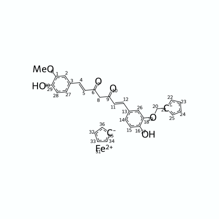 COc1cc(/C=C/C(=O)CC(=O)/C=C/c2ccc(O)c(OC[c-]3cccc3)c2)ccc1O.[Fe+2].c1cc[cH-]c1